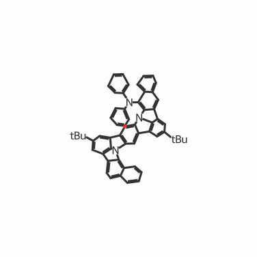 CC(C)(C)c1cc2c3cc4c(cc3n3c5c(N(c6ccccc6)c6ccccc6)c6ccccc6cc5c(c1)c23)c1cc(C(C)(C)C)cc2c3ccc5ccccc5c3n4c12